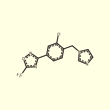 FC(F)(F)c1nc(-c2ccc(Cn3ccnc3)c(Cl)c2)no1